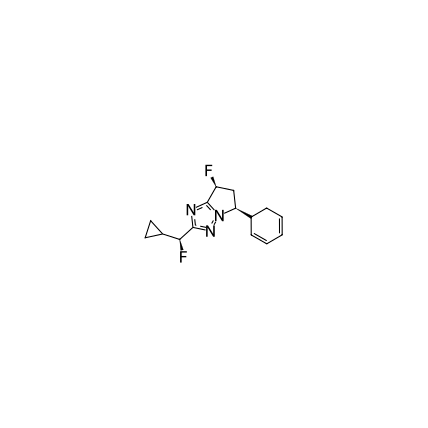 F[C@H](c1nc2n(n1)[C@H](C1C=CC=CC1)C[C@@H]2F)C1CC1